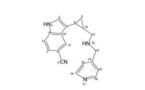 N#Cc1ccc2[nH]cc(C3CC3CNCc3ccncc3)c2c1